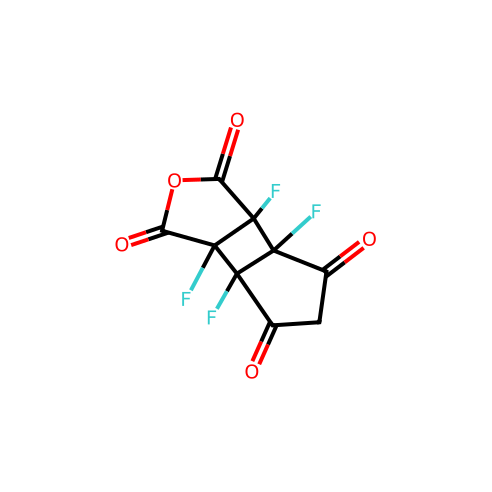 O=C1CC(=O)C2(F)C1(F)C1(F)C(=O)OC(=O)C21F